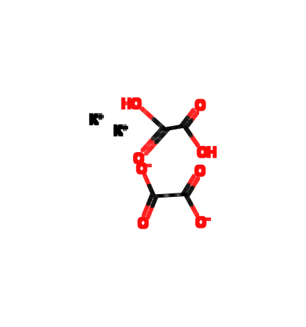 O=C(O)C(=O)O.O=C([O-])C(=O)[O-].[K+].[K+]